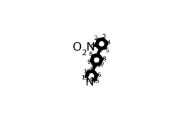 O=[N+]([O-])c1ccccc1-c1ccc(-c2ccncc2)cc1